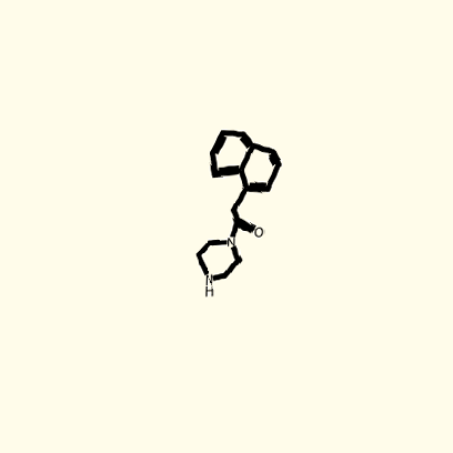 O=C(Cc1cccc2ccccc12)N1CCNCC1